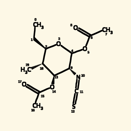 CC[C@H]1OC(OC(C)=O)[C@H](N=C=S)[C@@H](OC(C)=O)[C@@H]1C